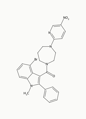 Cn1c(-c2ccccc2)c(C(=O)N2CCCN(c3ccc([N+](=O)[O-])cn3)CC2)c2c(Br)cccc21